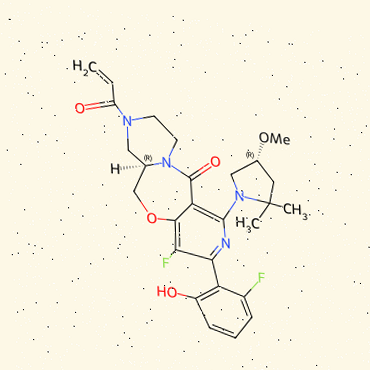 C=CC(=O)N1CCN2C(=O)c3c(N4C[C@H](OC)CC4(C)C)nc(-c4c(O)cccc4F)c(F)c3OC[C@H]2C1